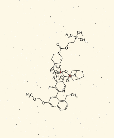 CCc1cccc2cc(OCOC)cc(-c3ncc4c(N5CC6CCC(C5)N6C(=O)OC(C)(C)C)nc(OC5CCN(C(=O)OCC[Si](C)(C)C)CC5)nc4c3F)c12